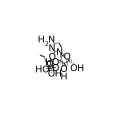 C=CCOP(=O)(O)O.Nc1ccn([C@@H]2O[C@H](CO)[C@@H](O)[C@@H]2O)c(=O)n1